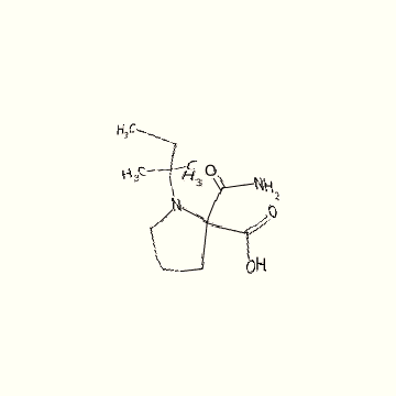 CCC(C)(C)N1CCCC1(C(N)=O)C(=O)O